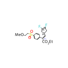 CCOC(=O)/C(=C/[C@H]1C[C@@H](F)[C@@H](F)C1)c1ccc(S(=O)(=O)CCOC)cc1